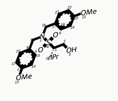 CCC[C@@H](CO)S(=O)(=O)N(Cc1ccc(OC)cc1)Cc1ccc(OC)cc1